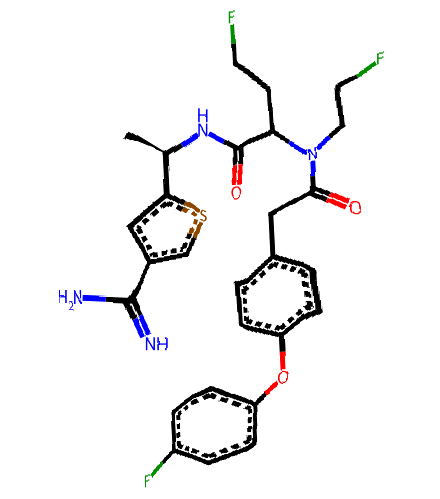 C[C@@H](NC(=O)C(CCF)N(CCF)C(=O)Cc1ccc(Oc2ccc(F)cc2)cc1)c1cc(C(=N)N)cs1